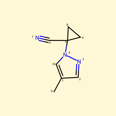 Cc1cnn(C2(C#N)CC2)c1